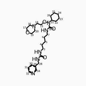 O=C(NCCCCCNC(=O)N(OCCN1CCOCC1)C1CCCCC1)NCc1cccnc1